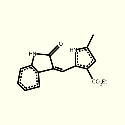 CCOC(=O)c1cc(C)[nH]c1C=C1C(=O)Nc2ccccc21